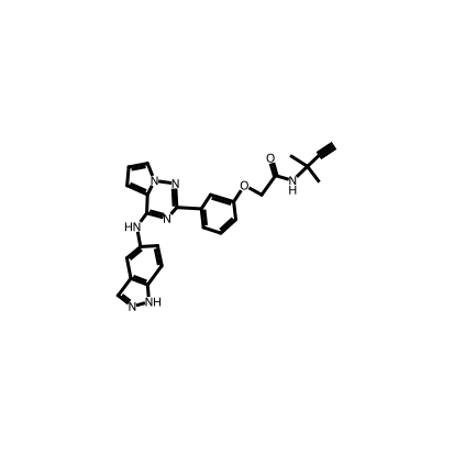 C#CC(C)(C)NC(=O)COc1cccc(-c2nc(Nc3ccc4[nH]ncc4c3)c3cccn3n2)c1